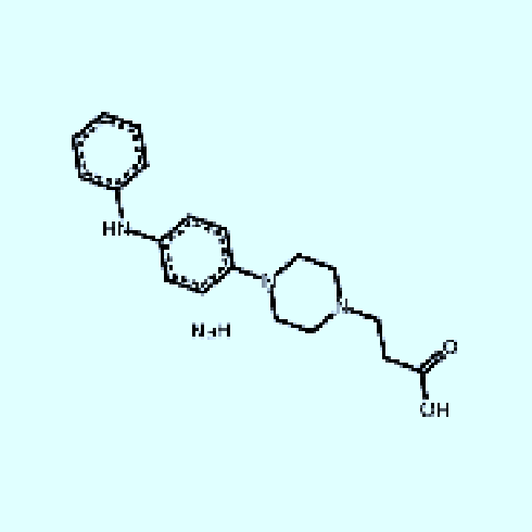 O=C(O)CCN1CCN(c2ccc(Nc3ccccc3)cc2)CC1.[NaH]